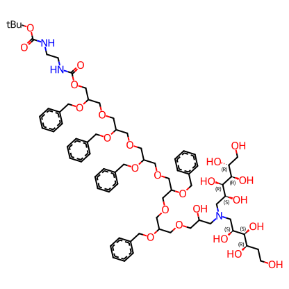 CC(C)(C)OC(=O)NCCNC(=O)OCC(COCC(COCC(COCC(COCC(COCC(O)CN(C[C@H](O)[C@@H](O)[C@H](O)[C@H](O)CO)C[C@H](O)[C@@H](O)[C@H](O)CCO)OCc1ccccc1)OCc1ccccc1)OCc1ccccc1)OCc1ccccc1)OCc1ccccc1